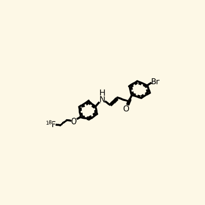 O=C(C=CNc1ccc(OCC[18F])cc1)c1ccc(Br)cc1